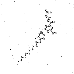 CCCCCCCCCCCCOc1ccc(CC(COP(O)OCCN(C)C)OC(=O)CC)cc1